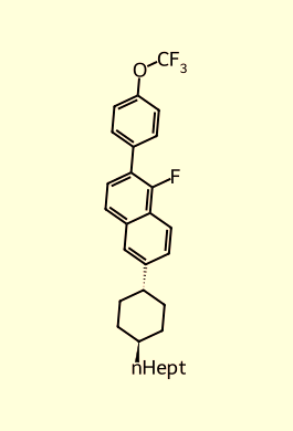 CCCCCCC[C@H]1CC[C@H](c2ccc3c(F)c(-c4ccc(OC(F)(F)F)cc4)ccc3c2)CC1